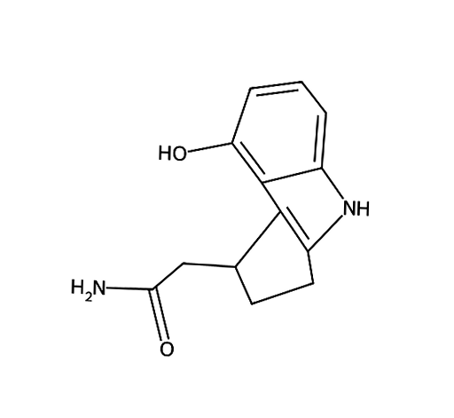 NC(=O)CC1CCc2[nH]c3cccc(O)c3c21